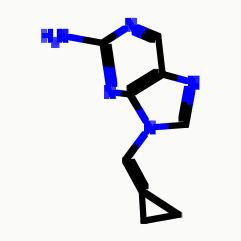 Nc1ncc2ncn(C=C3CC3)c2n1